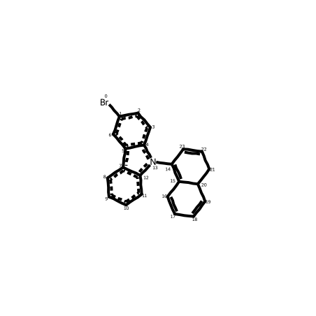 Brc1ccc2c(c1)c1ccccc1n2C1=C2C=CC=CC2CC=C1